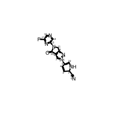 N#CC1C=CC(n2cc3c(n2)CN(c2cncc(F)n2)C3=O)=CN1